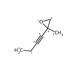 [CH2]CC#CC1(C)CO1